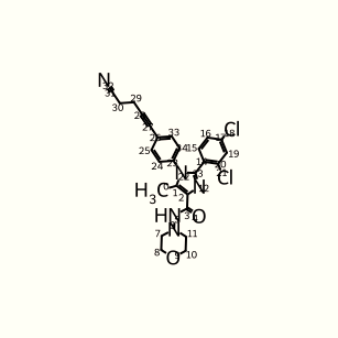 Cc1c(C(=O)NN2CCOCC2)nc(-c2ccc(Cl)cc2Cl)n1-c1ccc(C#CCCC#N)cc1